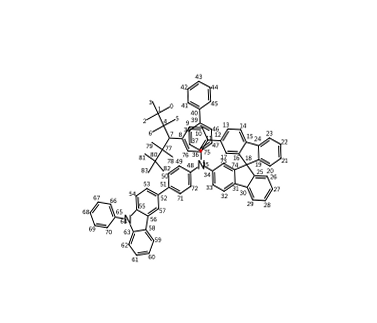 CC(C)(C)C(C)(C)C(c1ccc(-c2ccc3c(c2)C2(c4ccccc4-3)c3ccccc3-c3ccc(N(c4ccc(-c5ccccc5)cc4)c4ccc(-c5ccc6c(c5)c5ccccc5n6-c5ccccc5)cc4)cc32)cc1)C(C)(C)C(C)(C)C